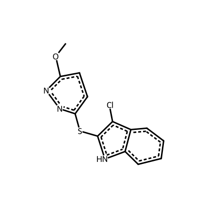 COc1ccc(Sc2[nH]c3ccccc3c2Cl)nn1